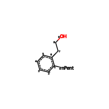 CCCCCc1[c]cccc1CCO